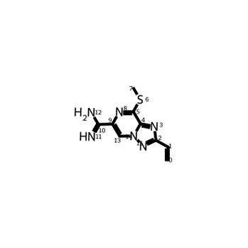 C=Cc1nc2c(SC)nc(C(=N)N)cn2n1